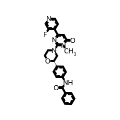 Cn1c(N2CCO[C@@H](c3ccc(NC(=O)c4ccccc4)cc3)C2)nc(-c2ccncc2F)cc1=O